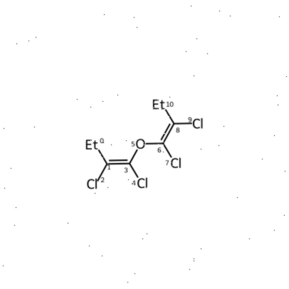 CC/C(Cl)=C(/Cl)O/C(Cl)=C(/Cl)CC